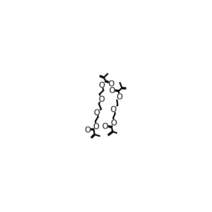 C=C(C)C(=O)OCCOCCOC(=O)C(=C)C.C=C(C)C(=O)OCCOCCOCCOC(=O)C(=C)C